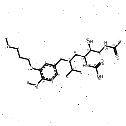 COCCCOc1cc(C[C@@H](C[C@H](NC(=O)O)[C@@H](O)CNC(C)=O)C(C)C)ccc1OC